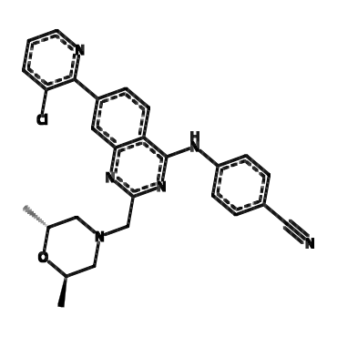 C[C@@H]1CN(Cc2nc(Nc3ccc(C#N)cc3)c3ccc(-c4ncccc4Cl)cc3n2)C[C@@H](C)O1